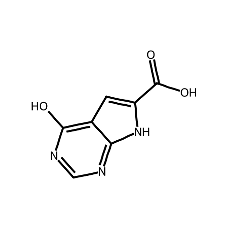 O=C(O)c1cc2c(O)ncnc2[nH]1